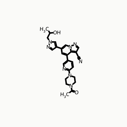 CC(=O)N1CCN(c2ccc(-c3cc(-c4cnn(CC(C)O)c4)cn4ncc(C#N)c34)cn2)CC1